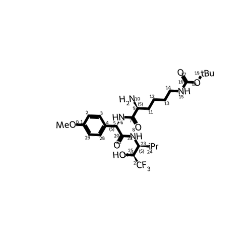 COc1ccc([C@H](NC(=O)[C@@H](N)CCCCNC(=O)OC(C)(C)C)C(=O)N[C@@H](C(C)C)[C@H](O)C(F)(F)F)cc1